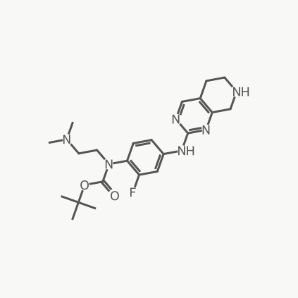 CN(C)CCN(C(=O)OC(C)(C)C)c1ccc(Nc2ncc3c(n2)CNCC3)cc1F